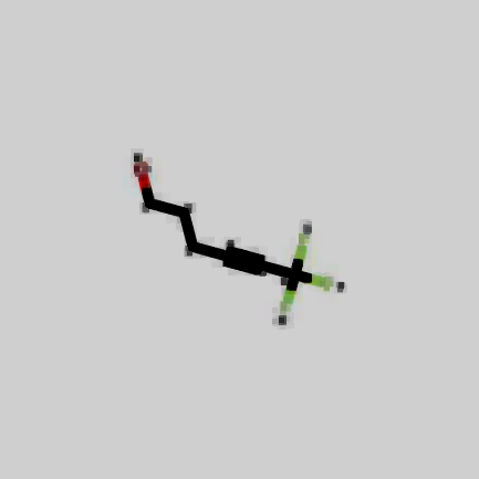 [O]CCCC#CC(F)(F)F